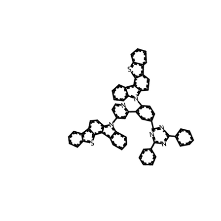 c1ccc(-c2nc(-c3ccccc3)nc(-c3ccc(-n4c5ccccc5c5c6sc7ccccc7c6ccc54)c(-c4cc(-n5c6ccccc6c6c7sc8ccccc8c7ccc65)ccn4)c3)n2)cc1